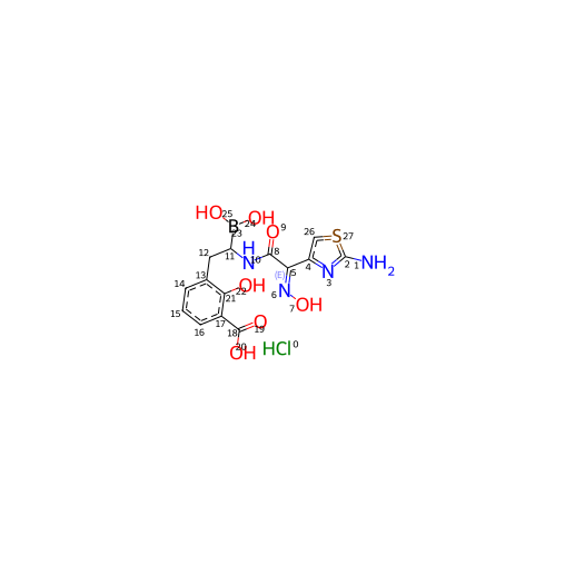 Cl.Nc1nc(/C(=N\O)C(=O)NC(Cc2cccc(C(=O)O)c2O)B(O)O)cs1